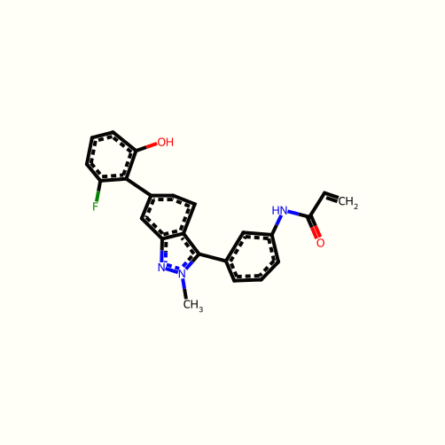 C=CC(=O)Nc1cccc(-c2c3ccc(-c4c(O)cccc4F)cc3nn2C)c1